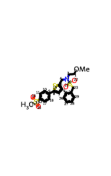 COCCN(Cc1ccc(-c2ccc(S(C)(=O)=O)cc2)s1)S(=O)(=O)Cc1ccccc1